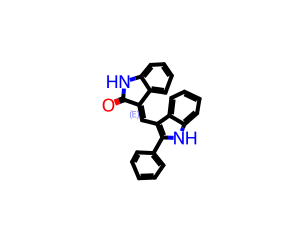 O=C1Nc2ccccc2/C1=C\c1c(-c2ccccc2)[nH]c2ccccc12